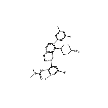 Cc1cc(F)cc(-c2cnc3ccc(-c4cc(F)cc(F)c4NC(=O)N(C)C)cc3c2N2CCC(N)CC2)c1